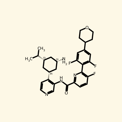 CC(C)[C@@H]1C[C@H](N)C[C@H](c2ccncc2NC(=O)c2ccc(F)c(-c3c(F)cc(C4CCOCC4)cc3F)n2)C1